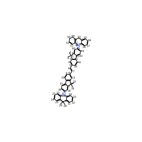 CC1(C)c2cc(/C=C/c3ccc4c(c3)C(C)(C)c3cc(N5c6ccccc6C(C)(C)c6ccccc65)ccc3-4)ccc2-c2ccc(N3C4=C(CCC=C4)Cc4ccccc43)cc21